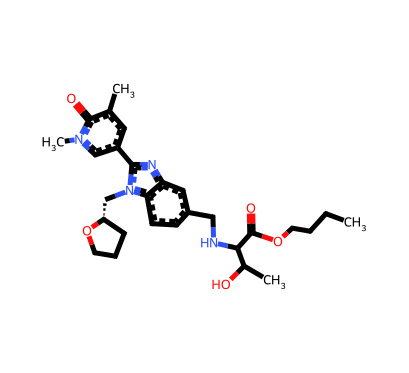 CCCCOC(=O)C(NCc1ccc2c(c1)nc(-c1cc(C)c(=O)n(C)c1)n2C[C@@H]1CCCO1)C(C)O